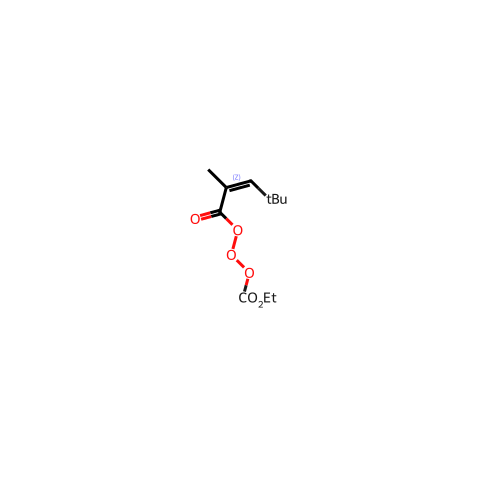 CCOC(=O)OOOC(=O)/C(C)=C\C(C)(C)C